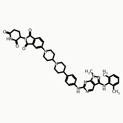 Cc1cccc(C)c1Nc1nn(C)c2nc(Nc3ccc(C4CCN(C5CCN(c6ccc7c(c6)C(=O)N(C6CCC(=O)NC6=O)C7=O)CC5)CC4)cc3)ncc12